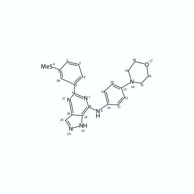 CSc1cccc(-c2nc(Nc3ccc(N4CCOCC4)cc3)c3[nH]ncc3n2)c1